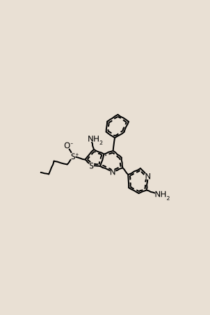 CCCC[S+]([O-])c1sc2nc(-c3ccc(N)nc3)cc(-c3ccccc3)c2c1N